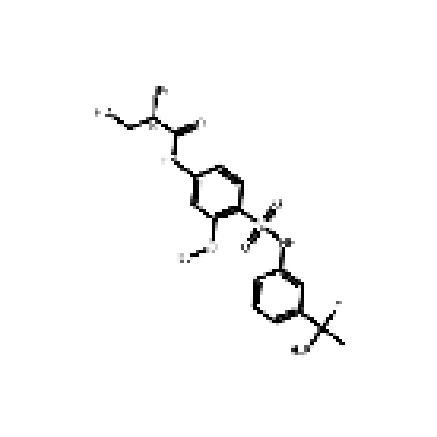 CCOc1cc(NC(=O)[C@@H](CO)C(C)C)ccc1S(=O)(=O)Nc1cccc(C(C)(F)P)c1